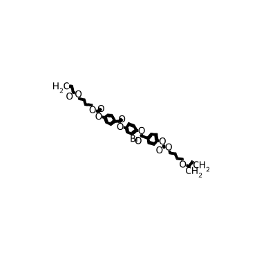 C=CC(=C)OCCCCOC(=O)Oc1ccc(C(=O)Oc2ccc(OC(=O)c3ccc(OC(=O)OCCCCOC(=O)C=C)cc3)cc2Br)cc1